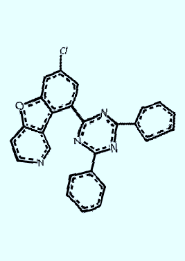 Clc1cc(-c2nc(-c3ccccc3)nc(-c3ccccc3)n2)c2c(c1)oc1ccncc12